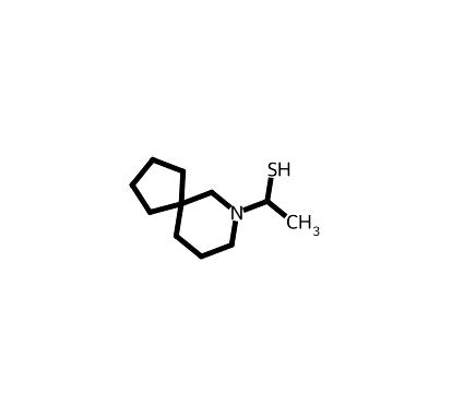 CC(S)N1CCCC2(CCCC2)C1